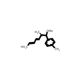 COC(c1ccc(C)cc1)[C@H](C)/C=C/C=C/C(=O)O